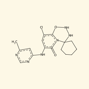 Cc1cc(Nc2cc(Cl)c3n(c2=O)C2(CCCCC2)NNO3)ncn1